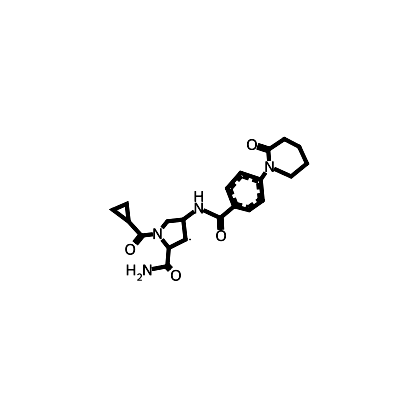 NC(=O)C1[CH]C(NC(=O)c2ccc(N3CCCCC3=O)cc2)CN1C(=O)C1CC1